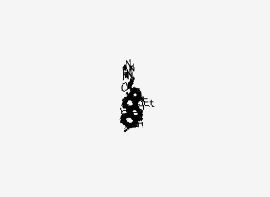 CC[C@@H]1C[C@H](C(=O)Cn2ncnn2)[C@@]2(C)CC[C@@H]3[C@H]4CC[C@H](C)C[C@H]4CC[C@H]3C12